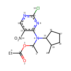 CCC(=O)OC(C)N(c1nc(Cl)ncc1[N+](=O)[O-])C1CCCC1C